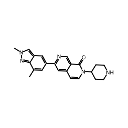 Cc1cc(-c2cc3ccn(C4CCNCC4)c(=O)c3cn2)cc2cn(C)nc12